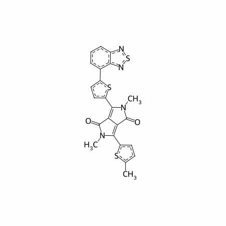 Cc1ccc(C2=C3C(=O)N(C)C(c4ccc(-c5cccc6nsnc56)s4)=C3C(=O)N2C)s1